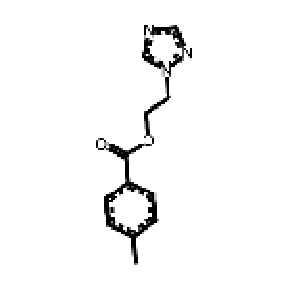 Cc1ccc(C(=O)OCCn2cncn2)cc1